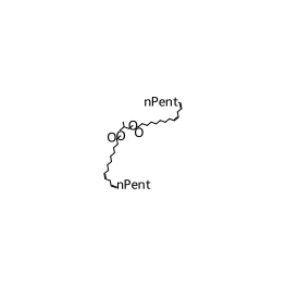 CCCCC/C=C\C/C=C\CCCCCCCC(=O)OCC(C)COC(=O)CCCCCCC/C=C\C/C=C\CCCCC